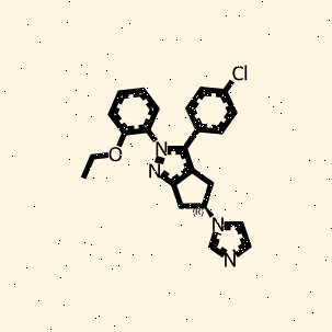 CCOc1ccccc1-n1nc2c(c1-c1ccc(Cl)cc1)C[C@@H](n1ccnc1)C2